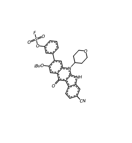 CC(C)COc1cc2c(=O)c3c4ccc(C#N)cc4[nH]c3n(C3CCOCC3)c2cc1-c1cccc(OS(=O)(=O)F)c1